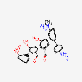 C.Nc1ccc(-c2ccc(N)cc2)cc1.O=Cc1ccc(O)cc1.O=Cc1ccc(O)cc1.Oc1ccccc1